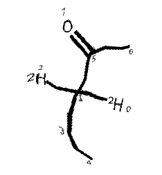 [2H]C([2H])(CC)C(C)=O